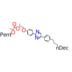 CCCCCCCCCCCCCc1ccc(-c2cnc(-c3ccc(OCC(C)OC(=O)C(C)OCCCCC)cc3)nc2)cc1